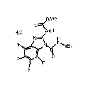 CCCCNC(=O)n1c([AsH]C(=O)OC)nc2c(F)c(F)c(F)c(F)c21.Cl